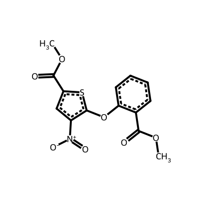 COC(=O)c1cc([N+](=O)[O-])c(Oc2ccccc2C(=O)OC)s1